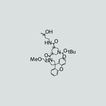 COCCCCC1(CNC(=O)[C@H]2C[C@@H](C(=O)NCC[C@@H](C)O)CN(C(=O)OC(C)(C)C)C2)c2ccccc2Oc2ccccc21